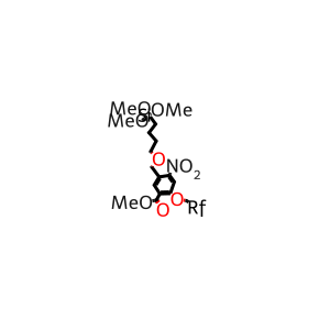 COC(=O)c1cc(COCCCC[Si](OC)(OC)OC)c([N+](=O)[O-])cc1O[CH2][Rf]